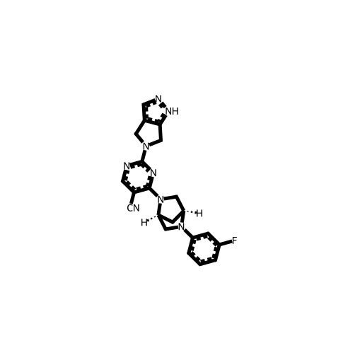 N#Cc1cnc(N2Cc3cn[nH]c3C2)nc1N1C[C@@H]2C[C@H]1CN2c1cccc(F)c1